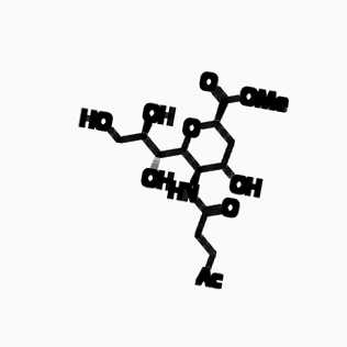 COC(=O)[C@H]1CC(O)[C@@H](NC(=O)CCC(C)=O)C([C@H](O)[C@H](O)CO)O1